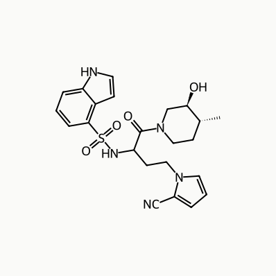 C[C@@H]1CCN(C(=O)C(CCn2cccc2C#N)NS(=O)(=O)c2cccc3[nH]ccc23)C[C@H]1O